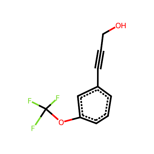 OCC#Cc1cccc(OC(F)(F)F)c1